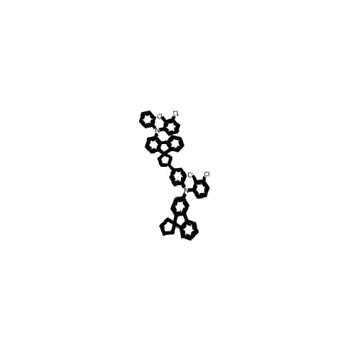 Clc1cccc(N(c2ccc(C3CCC4(C3)c3ccccc3-c3c(N(c5ccccc5)c5cccc(Cl)c5Cl)cccc34)cc2)c2ccc3c(c2)-c2ccccc2C32CCCC2)c1Cl